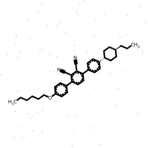 CCCCCCOc1ccc(-c2ccc(-c3ccc([C@H]4CC[C@H](CCC)CC4)cc3)c(C#N)c2C#N)cc1